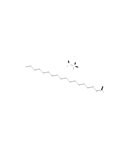 CCCCCCCCCCCCCCCCCC(=O)[O-].O=S(O)S(=O)(=O)[O-].[Mg+2]